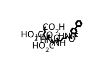 O=C(O)CC[C@H](NC(=O)NC[C@@H](NC(=O)CCCNC(=O)c1ccc(-c2ccccc2)cc1F)C(=O)O)C(=O)O